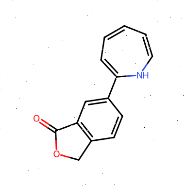 O=C1OCc2ccc(C3=CC=CC=CN3)cc21